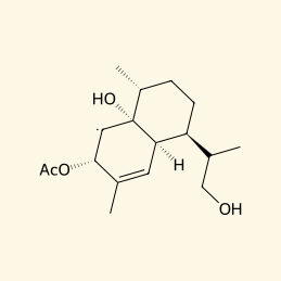 CC(=O)O[C@@H]1[CH][C@@]2(O)[C@H](C)CC[C@@H](C(C)CO)[C@H]2C=C1C